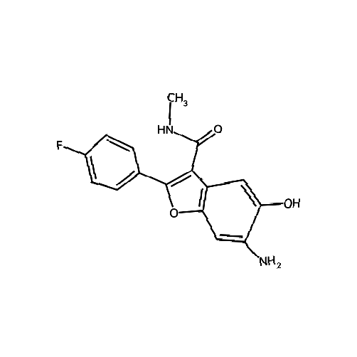 CNC(=O)c1c(-c2ccc(F)cc2)oc2cc(N)c(O)cc12